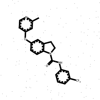 Cc1cc(Oc2ccc3c(c2)CCN3C(=O)Nc2cccc(C(F)(F)F)c2)ccn1